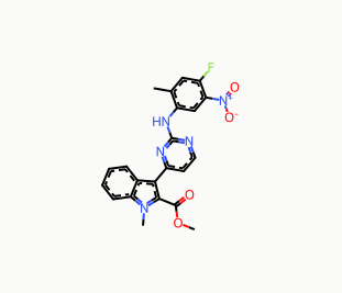 COC(=O)c1c(-c2ccnc(Nc3cc([N+](=O)[O-])c(F)cc3C)n2)c2ccccc2n1C